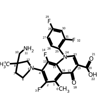 Cc1c(F)c(N2CCC(C)(CN)C2)c(F)c2c1c(=O)c(C(=O)O)cn2-c1ccc(F)cc1F